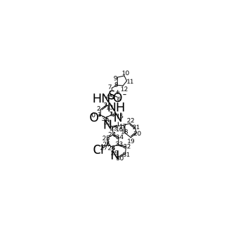 O=c1cc(N[S+]([O-])CC2CCCC2)[nH]c2nc(-c3ccccc3)c(-c3cc(Cl)c4ncccc4c3)nc12